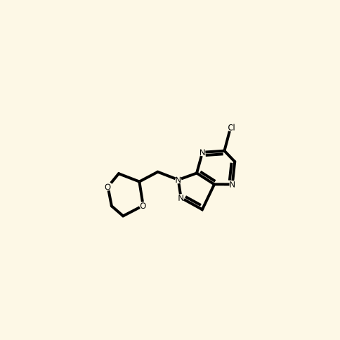 Clc1cnc2cnn(CC3COCCO3)c2n1